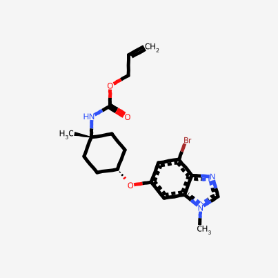 C=CCOC(=O)N[C@]1(C)CC[C@H](Oc2cc(Br)c3ncn(C)c3c2)CC1